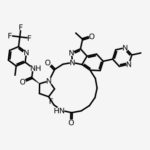 CC(=O)c1nn2c3c(cc(-c4cnc(C)nc4)cc13)CCCCCC(=O)NC[C@]1(F)C[C@@H](C(=O)Nc3nc(C(F)(F)F)ccc3C)N(C1)C(=O)C2